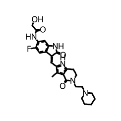 Cc1c(C=C2C(=O)Nc3cc(NC(=O)CO)c(F)cc32)[nH]c2c1C(=O)N(CCN1CCCCC1)CC2